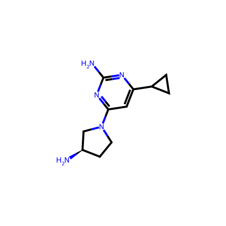 Nc1nc(C2CC2)cc(N2CC[C@@H](N)C2)n1